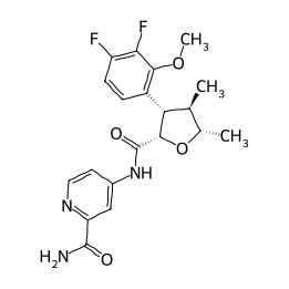 COc1c([C@@H]2[C@@H](C)[C@H](C)O[C@@H]2C(=O)Nc2ccnc(C(N)=O)c2)ccc(F)c1F